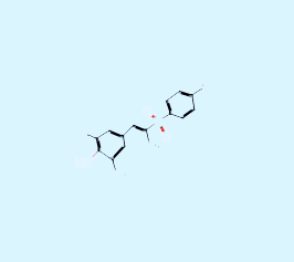 CC(C)(C)c1cc(/C=C(\C#N)S(=O)(=O)c2ccc([N+](=O)[O-])cc2)cc(C(C)(C)C)c1O